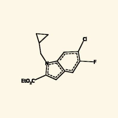 CCOC(=O)c1cc2cc(F)c(Cl)cc2n1CC1CC1